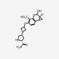 NC(=O)[C@H]1C[C@H](N2CC(Oc3ccc4c(c3C(=O)O)OB(O)[C@@H]3CC43)C2)CN1